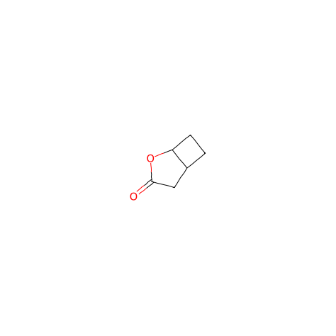 O=C1CC2CCC2O1